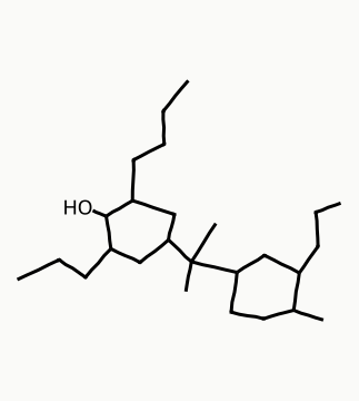 CCCCC1CC(C(C)(C)C2CCC(C)C(CCC)C2)CC(CCC)C1O